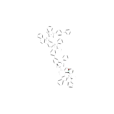 O=c1c2cc(-c3ccc4nc(C5CCc6c(c7c(c8ccccc68)c6ccccc6c(=O)n7-c6ccccc6)-c6ccccc65)nc(-c5ccccc5)c4c3)ccc2c2cc3c4ccc5ccccc5c4n(-c4nc(-c5ccc(-c6ccccc6)cc5)c5ccccc5n4)c3cc2n1-c1ccccc1